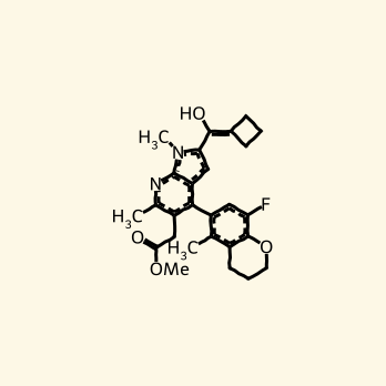 COC(=O)Cc1c(C)nc2c(cc(C(O)=C3CCC3)n2C)c1-c1cc(F)c2c(c1C)CCCO2